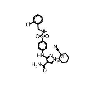 N#C[C@H]1CCCC[C@H]1n1cc(C(N)=O)c(Nc2ccc(S(=O)(=O)NCc3ccccc3Cl)cc2)n1